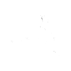 COc1ccc(COC(=O)C2=C(C=Cc3ccsn3)CS[C@H]3[C@H](N)C(=O)N23)cc1